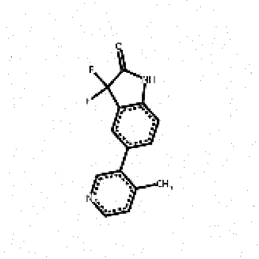 Cc1ccncc1-c1ccc2c(c1)C(F)(F)C(=O)N2